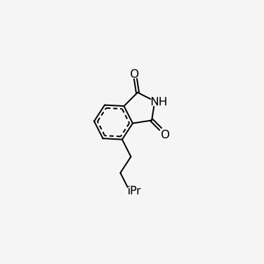 CC(C)CCc1cccc2c1C(=O)NC2=O